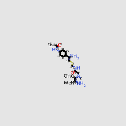 CN/C(N)=C(\C=O)N(C)CC(=O)NCS/C=C(\N)c1ccc(NC(=O)C(C)(C)C)cc1